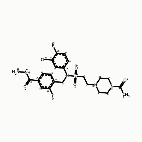 CC(=O)N1CCN(CCS(=O)(=O)N(Cc2ccc(C(=O)NN)cc2F)c2ccc(F)c(Cl)c2)CC1